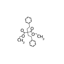 CCOC(=O)C(CCc1ccccc1)(CCc1ccccc1)C(=O)OCC